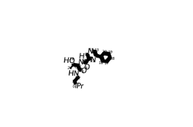 CC(C)CCNC(=O)[C@@H](NC(=O)c1cncc(-c2ccccc2)n1)[C@@H](C)O